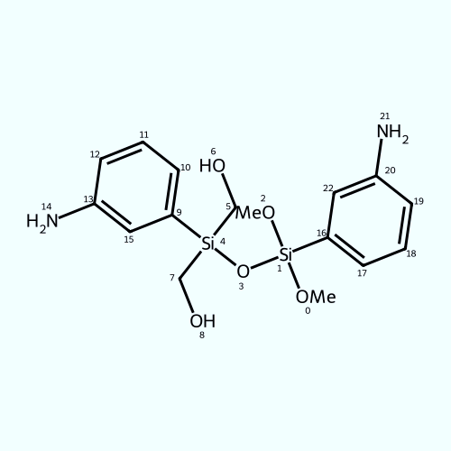 CO[Si](OC)(O[Si](CO)(CO)c1cccc(N)c1)c1cccc(N)c1